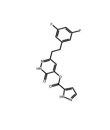 O=C(Oc1cc(CCc2cc(F)cc(F)c2)n[nH]c1=O)c1ccn[nH]1